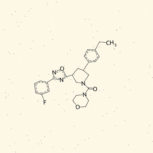 CCc1ccc(C2CC(c3nc(-c4cccc(F)c4)no3)CN(C(=O)N3CCOCC3)C2)cc1